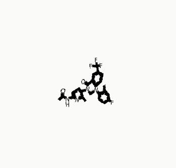 CC(=O)Nc1ccc(N2CN(c3ccc(F)cc3C)c3ccc(C(F)(F)F)cc3C2=O)c(C)n1